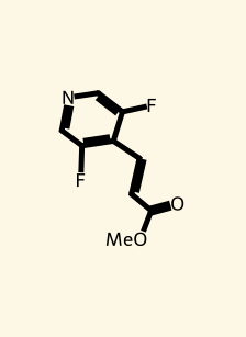 COC(=O)/C=C/c1c(F)cncc1F